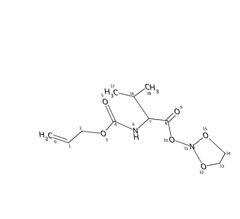 C=CCOC(=O)NC(C(=O)ON1OCCO1)C(C)C